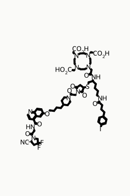 N#C[C@H]1CC(F)(F)CN1C(=O)CNC(=O)c1ccnc2ccc(OCCCCC3CCN(C(=O)CN4C(=O)CC(SCC(CCCCNC(=O)CCCc5ccc(I)cc5)NC(=O)CN5CCN(CC(=O)O)CCN(CC(=O)O)CCN(CC(=O)O)CC5)C4=O)CC3)cc12